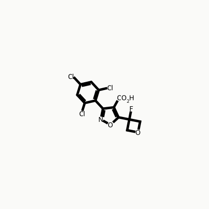 O=C(O)c1c(-c2c(Cl)cc(Cl)cc2Cl)noc1C1(F)COC1